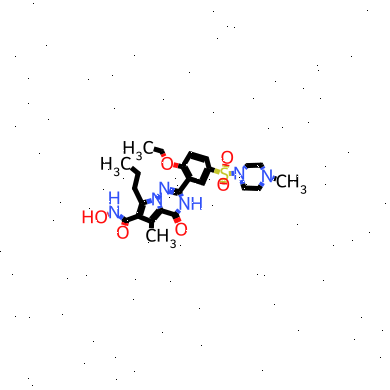 CCCc1c(C(=O)NO)c(C)c2c(=O)[nH]c(-c3cc(S(=O)(=O)N4CCN(C)CC4)ccc3OCC)nn12